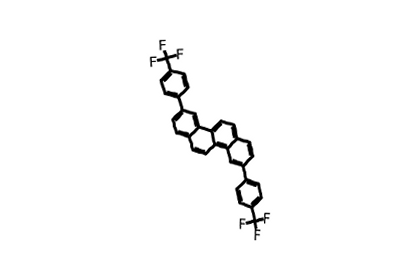 FC(F)(F)c1ccc(-c2ccc3ccc4c5cc(-c6ccc(C(F)(F)F)cc6)ccc5ccc4c3c2)cc1